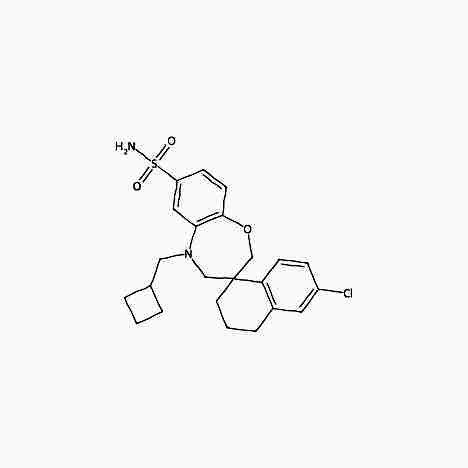 NS(=O)(=O)c1ccc2c(c1)N(CC1CCC1)CC1(CCCc3cc(Cl)ccc31)CO2